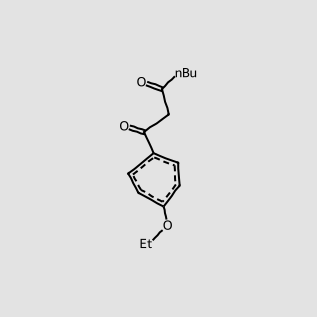 CCCCC(=O)CC(=O)c1ccc(OCC)cc1